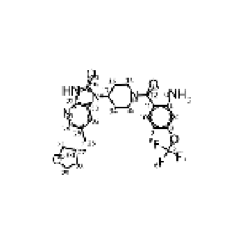 Nc1cc(OC(F)(F)F)ccc1C(=O)N1CCC(n2c(=O)[nH]c3ncc(C[C@@H]4CCOC4)cc32)CC1